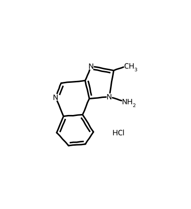 Cc1nc2cnc3ccccc3c2n1N.Cl